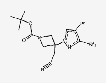 CC(C)(C)OC(=O)N1CC(CC#N)(n2cc(Br)c(N)n2)C1